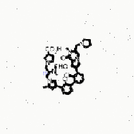 Cc1cc(-c2cccc(-c3cccc(-c4cc5c(=O)n(C)c(CN6CCCC6)cn5c4)c3Cl)c2Cl)cn1/C=C(/CN1CCC(C(=O)O)C1)N(C)C=O